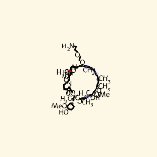 CO[C@@H]1C[C@H](C[C@@H](C)[C@@H]2CC(=O)[C@H](C)/C=C(\C)[C@@H](O)[C@@H](OC)C(=O)[C@H](C)C[C@H](C)/C=C/C=C/C=C(\C)C(OCCOCCCN)C[C@@H]3CC[C@@H](C)[C@@](O)(O3)C(=O)C(=O)N3CCCC[C@H]3C(=O)O2)CC[C@H]1O